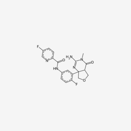 CN1C(=O)C2COCC2(c2cc(NC(=O)c3ccc(F)cn3)ccc2F)N=C1N